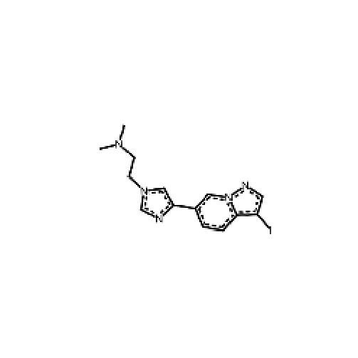 CN(C)CCn1cnc(-c2ccc3c(I)cnn3c2)c1